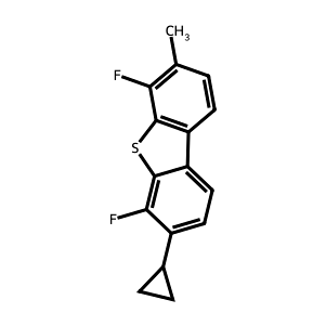 Cc1ccc2c(sc3c(F)c(C4CC4)ccc32)c1F